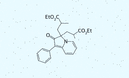 CCOC(=O)C(C)CC1(CC(C)C(=O)OCC)C(=O)C(c2ccccc2)=C2C=CC=CN21